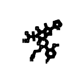 COc1ccc(F)cc1C(Cn1c(=O)n(C(C)(C)C(=O)O)c(=O)c2c(C)c(-n3cccn3)sc21)OCCC#N